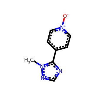 Cn1ncnc1-c1cc[n+]([O-])cc1